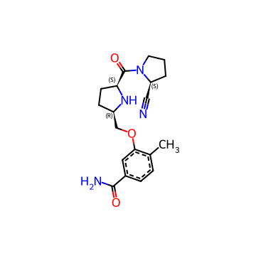 Cc1ccc(C(N)=O)cc1OC[C@H]1CC[C@@H](C(=O)N2CCC[C@H]2C#N)N1